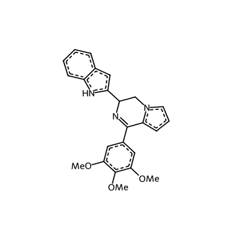 COc1cc(C2=NC(c3cc4ccccc4[nH]3)Cn3cccc32)cc(OC)c1OC